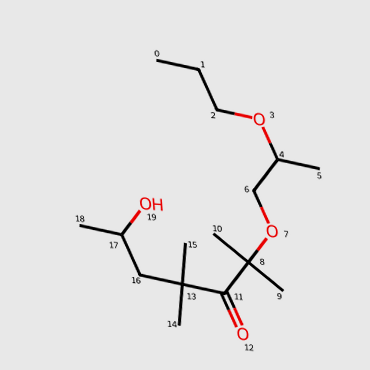 CCCOC(C)COC(C)(C)C(=O)C(C)(C)CC(C)O